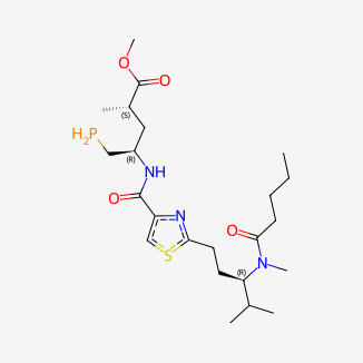 CCCCC(=O)N(C)[C@H](CCc1nc(C(=O)N[C@@H](CP)C[C@H](C)C(=O)OC)cs1)C(C)C